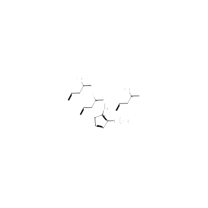 C=CCC(C)[O-].C=CCC(C)[O-].C=CCC(C)[O-].CCCCC1=[C]([Ti+3])CC=C1